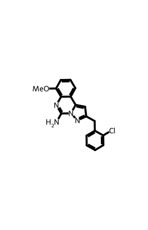 COc1cccc2c1nc(N)n1nc(Cc3ccccc3Cl)cc21